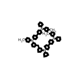 Cc1ccc(N(c2ccccc2)c2ccc(-c3ccc(N(c4ccc(C)cc4)c4cccc(Cc5cccc(N(c6ccccc6)c6ccc(-c7ccc(N(c8ccccc8)c8cccc(C)c8)cc7)cc6)c5)c4)cc3)cc2)cc1